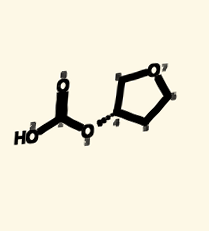 O=C(O)O[C@H]1CCOC1